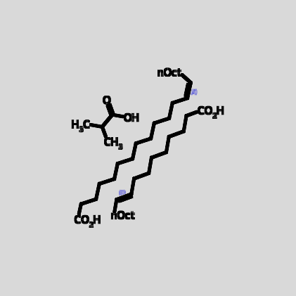 CC(C)C(=O)O.CCCCCCCC/C=C/CCCCCCCC(=O)O.CCCCCCCC/C=C\CCCCCCCCCCCC(=O)O